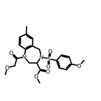 COCC(=O)N1CC(C(=O)OC)N(S(=O)(=O)c2ccc(OC)cc2)Cc2cc(C)ccc21